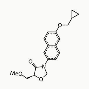 COC[C@@H]1OCN(c2ccc3cc(OCC4CC4)ccc3c2)C1=O